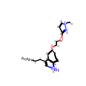 CC(=O)NCCc1c[nH]c2ccc(OCCOc3ccn(C)n3)cc12